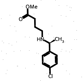 COC(=O)CCCN[C@@H](C)c1ccc(Cl)cc1